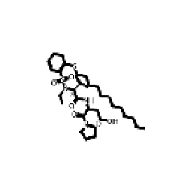 CCCCCCCCCCCCSC1=C(S(=O)(=O)N(CC)[C@H](C(=O)NC(CC(=O)O)C(=O)N2CCCC2)C(C)C)C=CCC1